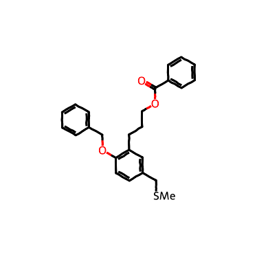 CSCc1ccc(OCc2ccccc2)c(CCCOC(=O)c2ccccc2)c1